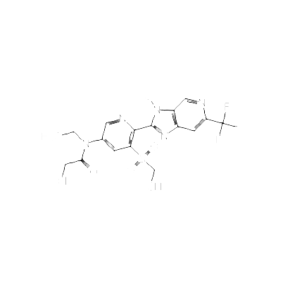 CCN(C(=O)CCl)c1cnc(-c2nc3cc(C(F)(F)F)ncc3n2C)c(S(=O)(=O)CC)c1